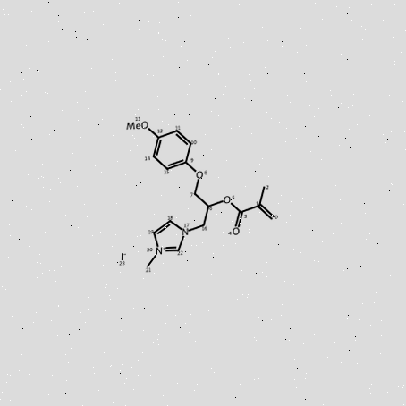 C=C(C)C(=O)OC(COc1ccc(OC)cc1)Cn1cc[n+](C)c1.[I-]